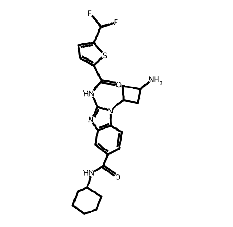 NC1CC(n2c(NC(=O)c3ccc(C(F)F)s3)nc3cc(C(=O)NC4CCCCC4)ccc32)C1